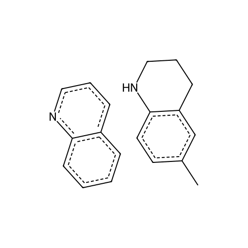 Cc1ccc2c(c1)CCCN2.c1ccc2ncccc2c1